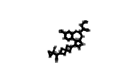 CC(C)OC(=O)N1Cc2cc(Cl)ccc2-n2c(nnc2C2CC3(C2)CN(C(=O)C2(F)CC2)C3)C1